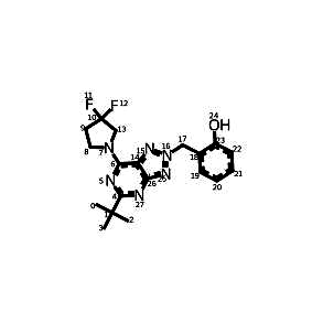 CC(C)(C)c1nc(N2CCC(F)(F)C2)c2nn(Cc3ccccc3O)nc2n1